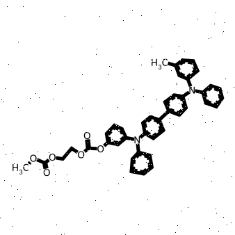 COC(=O)OCCOC(=O)Oc1cccc(N(c2ccccc2)c2ccc(-c3ccc(N(c4ccccc4)c4cccc(C)c4)cc3)cc2)c1